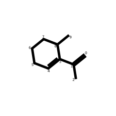 C=C(C)C1=CCCCC1C